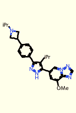 COc1cc(-c2[nH]nc(-c3ccc(C4CN(C(C)C)C4)cc3)c2C(C)C)cn2ncnc12